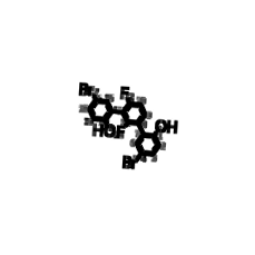 Oc1ccc(Br)cc1-c1ccc(F)c(-c2cc(Br)ccc2O)c1F